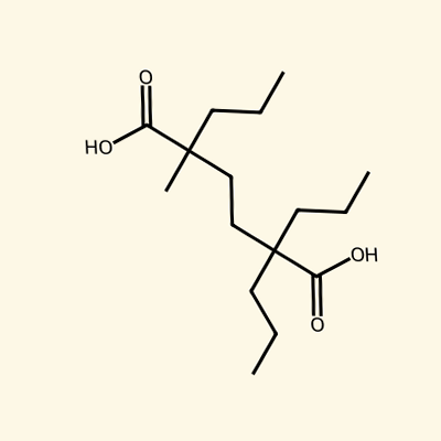 CCCC(C)(CCC(CCC)(CCC)C(=O)O)C(=O)O